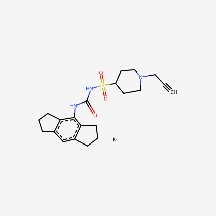 C#CCN1CCC(S(=O)(=O)NC(=O)Nc2c3c(cc4c2CCC4)CCC3)CC1.[K]